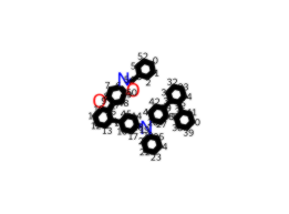 c1ccc(-c2nc3cc4oc5cccc(-c6ccc(N(c7ccccc7)c7ccc(-c8ccccc8-c8ccccc8)cc7)cc6)c5c4cc3o2)cc1